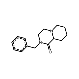 O=C1C2CCCCN2CCN1Cc1ccccc1